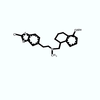 COc1cccc2c1CCCC2CN(C)CCc1ccc2sc(Cl)nc2c1